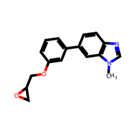 Cn1cnc2ccc(-c3cccc(OCC4CO4)c3)cc21